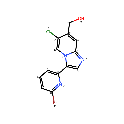 OCc1cc2ncc(-c3cccc(Br)n3)n2cc1Cl